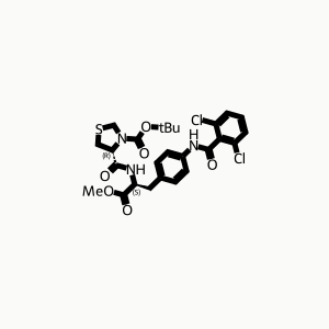 COC(=O)[C@H](Cc1ccc(NC(=O)c2c(Cl)cccc2Cl)cc1)NC(=O)[C@@H]1CSCN1C(=O)OC(C)(C)C